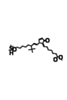 COC(=O)CCCCCC=C1C(=O)C=CC1C=CC(CCCCCO[SiH](C)C)C(C)(C)C